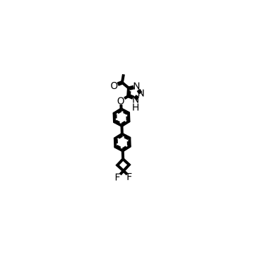 CC(=O)c1nn[nH]c1Oc1ccc(-c2ccc(C3CC(F)(F)C3)cc2)cc1